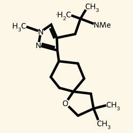 [CH2]C(C)(Cc1cn(C)nc1C1CCC2(CC1)CC(C)(C)CO2)NC